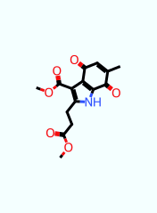 COC(=O)CCc1[nH]c2c(c1C(=O)OC)C(=O)C=C(C)C2=O